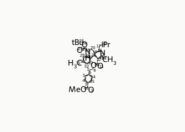 COC(=O)c1ccc(CCOC(=O)c2c(C)nc(CC(C)C)c(CNC(=O)OC(C)(C)C)c2-c2ccc(C)cc2)cc1